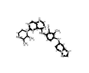 Cc1c(Oc2ccn3ncnc3c2)ccc(Nc2ncnc3cnc(N4CCNC(C)C4C)nc23)c1F